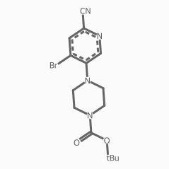 CC(C)(C)OC(=O)N1CCN(c2cnc(C#N)cc2Br)CC1